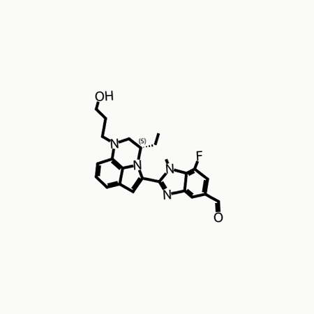 CC[C@H]1CN(CCCO)c2cccc3cc(-c4nc5cc(C=O)cc(F)c5n4C)n1c23